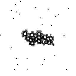 CC1(C)c2ccccc2-c2ccc(N(c3ccccc3)c3ccccc3-c3cccc4c3-c3ccccc3C43c4ccccc4-c4ccc(-c5ccccc5)cc43)cc21